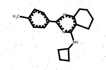 Cc1ccc(-c2nc3c(c(NC4CCC4)n2)CCCC3)cc1